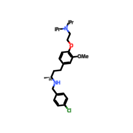 COc1cc(CC[C@@H](C)NCc2ccc(Cl)cc2)ccc1OCCN(C(C)C)C(C)C